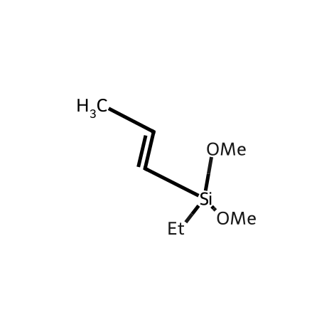 CC=C[Si](CC)(OC)OC